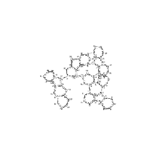 c1ccc(-n2c3ccccc3c3cccc(-c4nc(-c5cccc6c5oc5ccccc56)nc(-c5cc(-n6c7ccccc7c7cc8ccccc8cc76)cc6oc7ccccc7c56)n4)c32)cc1